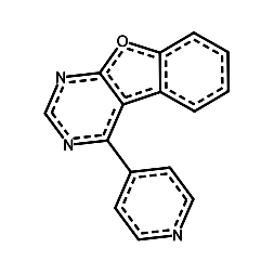 c1ccc2c(c1)oc1ncnc(-c3ccncc3)c12